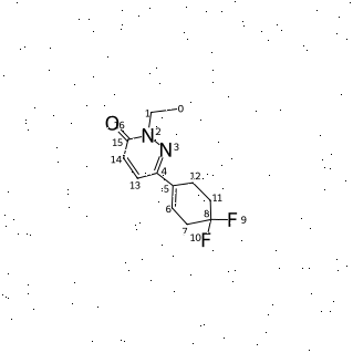 CCn1nc(C2=CCC(F)(F)CC2)ccc1=O